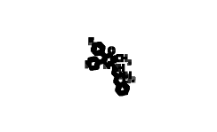 Cn1c(NC[C@H](N)Cc2ccccc2Cl)nc(-c2ccncc2)c(-c2ccc(F)cc2)c1=O